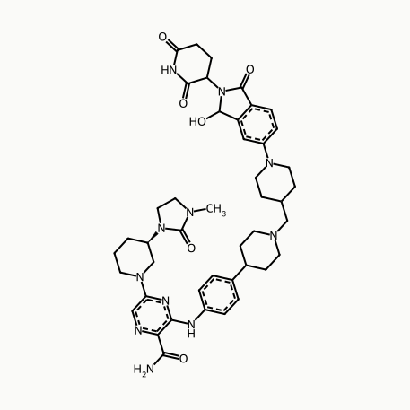 CN1CCN([C@@H]2CCCN(c3cnc(C(N)=O)c(Nc4ccc(C5CCN(CC6CCN(c7ccc8c(c7)C(O)N(C7CCC(=O)NC7=O)C8=O)CC6)CC5)cc4)n3)C2)C1=O